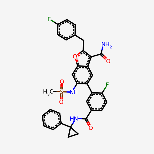 CS(=O)(=O)Nc1cc2oc(Cc3ccc(F)cc3)c(C(N)=O)c2cc1-c1cc(C(=O)NC2(c3ccccc3)CC2)ccc1F